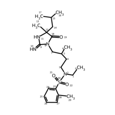 CCN(CCC(C)CN1C(=N)NC(C)(CC(C)C)C1=O)S(=O)(=O)c1ccccc1C